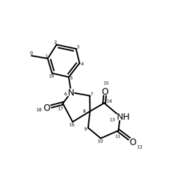 Cc1cccc(N2CC3(CCC(=O)NC3=O)CC2=O)c1